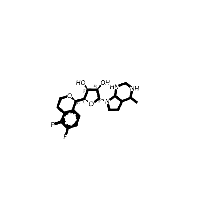 CC1NCNC2C1CCN2[C@@H]1O[C@H]([C@@H]2OCCc3c2ccc(F)c3F)[C@@H](O)[C@H]1O